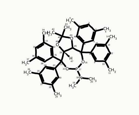 Cc1cc(C)cc(C2(c3cc(C)cc(C)c3)OP(N(C)C)OC(c3cc(C)cc(C)c3)(c3cc(C)cc(C)c3)[C@@H]3OC(C)(C)OC32)c1